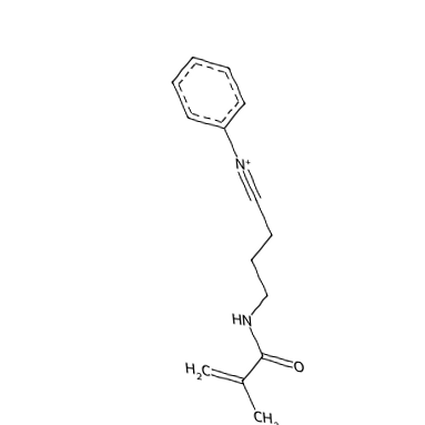 C=C(C)C(=O)NCCCC#[N+]c1ccccc1